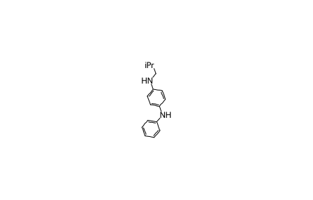 CC(C)CNc1ccc(Nc2ccccc2)cc1